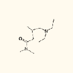 CCN(CC)CC(C)CC(=O)N(C)C